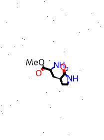 COC(=O)[C@@H](N)C[C@@H]1CCNC1=O